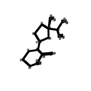 CC(C)[C@@]1(C)CCN(C2CCCNC2=O)C1